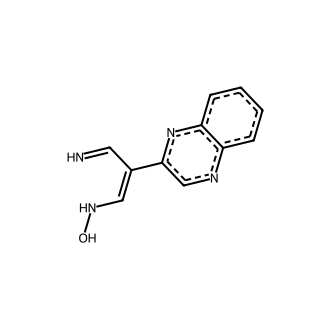 N=C/C(=C\NO)c1cnc2ccccc2n1